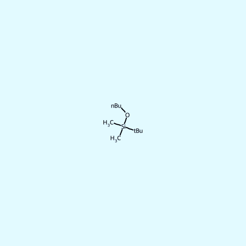 CC[CH]CO[Si](C)(C)C(C)(C)C